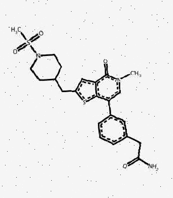 Cn1cc(-c2cccc(CC(N)=O)c2)c2sc(CC3CCN(S(C)(=O)=O)CC3)cc2c1=O